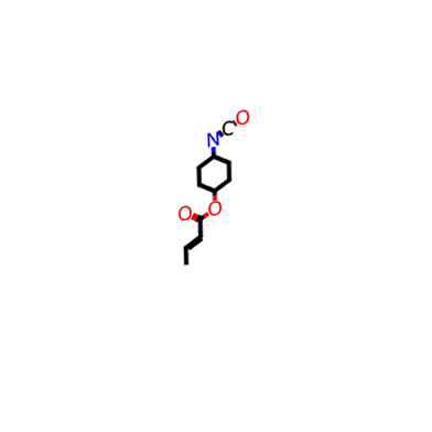 CC=CC(=O)OC1CCC(N=C=O)CC1